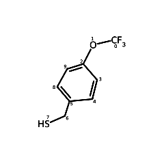 FC(F)(F)Oc1ccc(CS)cc1